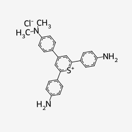 CN(C)c1ccc(-c2cc(-c3ccc(N)cc3)[s+]c(-c3ccc(N)cc3)c2)cc1.[Cl-]